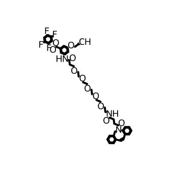 C#CCOc1cc(NC(=O)CCOCCOCCOCCOCCOCCNC(=O)CCC(=O)N2Cc3ccccc3C#Cc3ccccc32)cc(C(=O)Oc2c(F)c(F)cc(F)c2F)c1